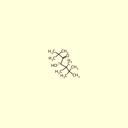 CC(C)(C)C(=O)[C@@H](O)C(C)(C)C(C)(C)C